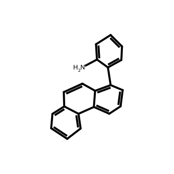 Nc1ccccc1-c1cccc2c1ccc1ccccc12